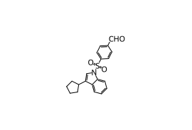 O=Cc1ccc(S(=O)(=O)n2cc(C3CCCC3)c3ccccc32)cc1